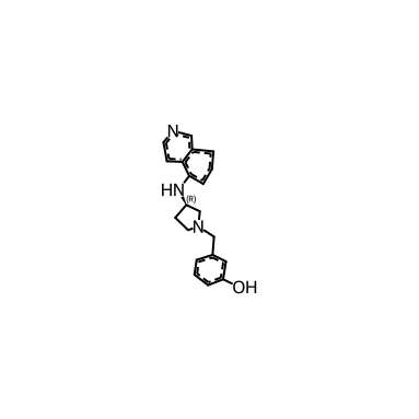 Oc1cccc(CN2CC[C@@H](Nc3cccc4cnccc34)C2)c1